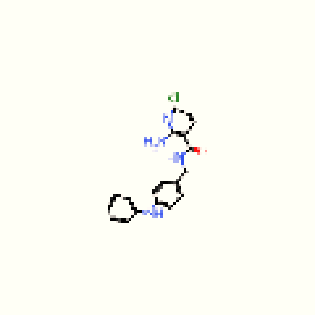 Nc1nc(Cl)ccc1C(=O)NCc1ccc(Nc2ccccc2)cc1